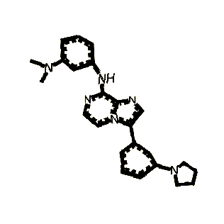 CN(C)c1cccc(Nc2nccn3c(-c4cccc(N5CCCC5)c4)cnc23)c1